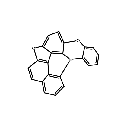 c1ccc2c(c1)Oc1ccc3oc4ccc5cccc6c5c4c3c1B26